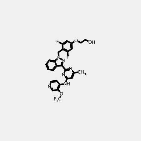 Cc1cc(Nc2ccncc2OC(F)(F)F)nc(-c2nn(Cc3c(F)cc(OCCO)cc3F)c3ccccc23)n1